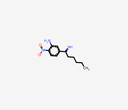 CCCCCC(=N)c1ccc([N+](=O)[O-])c(N)c1